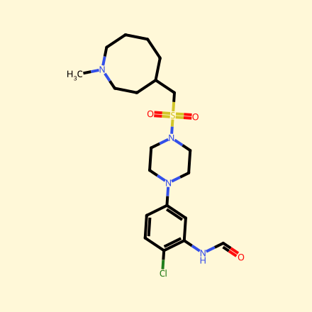 CN1CCCCC(CS(=O)(=O)N2CCN(c3ccc(Cl)c(NC=O)c3)CC2)CC1